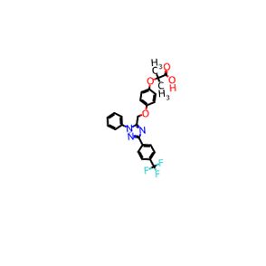 CC(C)(Oc1ccc(OCc2nc(-c3ccc(C(F)(F)F)cc3)nn2-c2ccccc2)cc1)C(=O)O